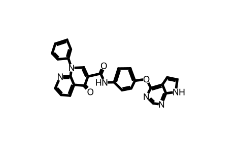 O=C(Nc1ccc(Oc2ncnc3[nH]ccc23)cc1)c1cn(-c2ccccc2)c2ncccc2c1=O